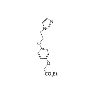 CCOC(=O)COc1ccc(OCCn2ccnc2)cc1